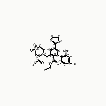 CCOC(=O)C1=C(CN2CCS(=O)(=O)C[C@H]2C(N)=O)NC(c2nccs2)=N[C@H]1c1ccc(F)cc1Br